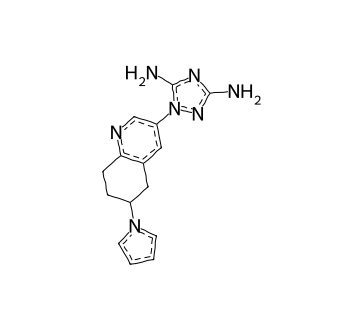 Nc1nc(N)n(-c2cnc3c(c2)CC(n2cccc2)CC3)n1